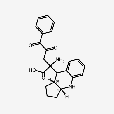 NC(CC(=O)C(=O)c1ccccc1)(C(=O)O)C1c2ccccc2N[C@@H]2CCC[C@H]12